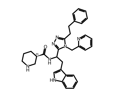 O=C(NC(Cc1c[nH]c2ccccc12)c1nnc(CCc2ccccc2)n1Cc1ccccn1)[C@@H]1CCCNC1